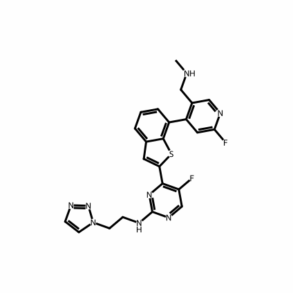 CNCc1cnc(F)cc1-c1cccc2cc(-c3nc(NCCn4ccnn4)ncc3F)sc12